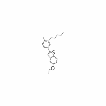 CCCCCc1cc(-c2cc3cc(OCC)ccc3s2)ccc1C